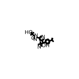 C=C(C)c1ccc(C(O)(c2cncc(-c3noc(C(C)(C)O)n3)c2)C2(C)CN(C)C2)cc1